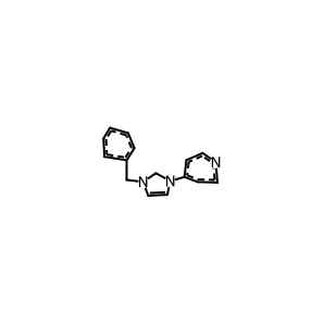 C1=CN(c2ccncc2)CN1Cc1ccccc1